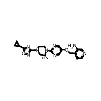 C[C@@H]1CN(c2noc(C3CC3)n2)CCN1c1ncc(OCc2ccncc2N)cn1